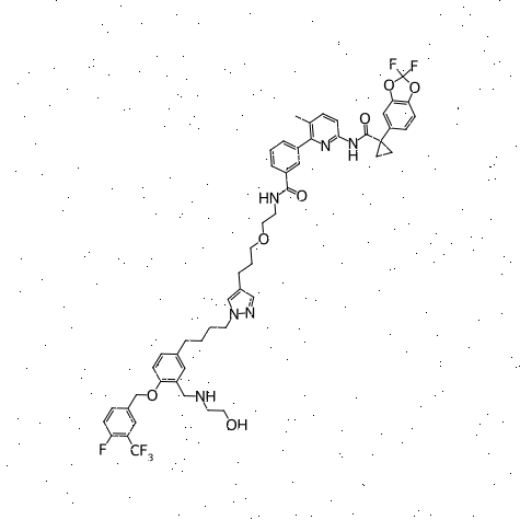 Cc1ccc(NC(=O)C2(c3ccc4c(c3)OC(F)(F)O4)CC2)nc1-c1cccc(C(=O)NCCOCCCc2cnn(CCCCc3ccc(OCc4ccc(F)c(C(F)(F)F)c4)c(CNCCO)c3)c2)c1